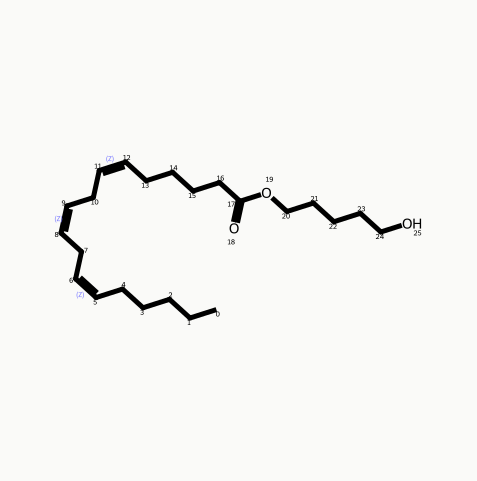 CCCCC/C=C\C/C=C\C/C=C\CCCCC(=O)OCCCCCO